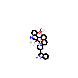 COc1ccccc1C(c1cccc2ccccc12)[C@@](C)(C#N)C(=O)N1CC=C(c2c[nH]c3ccccc23)CC1